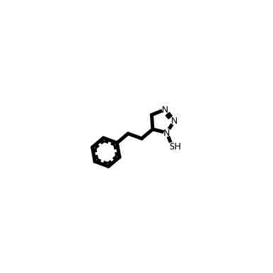 SN1N=NCC1CCc1ccccc1